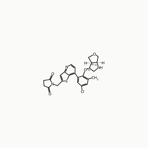 Cc1cc(Cl)cc(-c2ccnc3cc(CN4C(=O)CCC4=O)sc23)c1O[C@@H]1CN[C@@H]2COC[C@@H]21